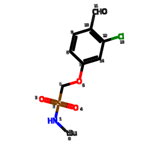 CC(C)(C)NS(=O)(=O)COc1ccc(C=O)c(Cl)c1